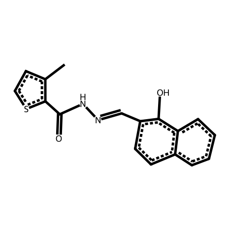 Cc1ccsc1C(=O)N/N=C/c1ccc2ccccc2c1O